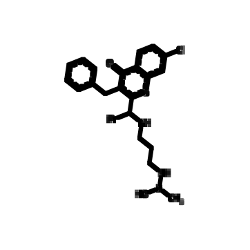 CB(O)NCCCNC(c1sc2cc(Cl)ccc2c(=O)c1Cc1ccccc1)C(C)C